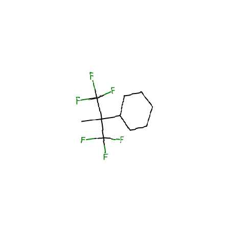 CC(C1CCCCC1)(C(F)(F)F)C(F)(F)F